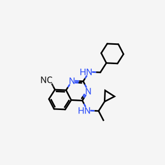 CC(Nc1nc(NCC2CCCCC2)nc2c(C#N)cccc12)C1CC1